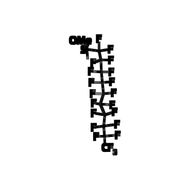 CO[Si](C)(C)C(F)(F)C(F)(F)C(F)(F)C(F)(F)C(F)(F)C(F)(F)C(F)(F)C(F)(F)C(F)(F)C(F)(F)F